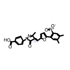 CC1=NN(c2ccc(C(=O)O)cc2)C(=O)/C1=C/c1ccc(-c2cc(C)c(C)cc2[N+](=O)[O-])o1